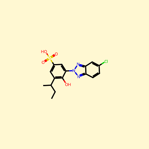 CCC(C)c1cc(S(=O)(=O)O)cc(-n2nc3ccc(Cl)cc3n2)c1O